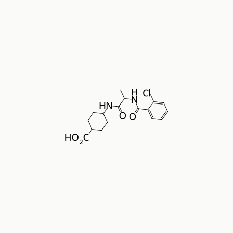 CC(NC(=O)c1ccccc1Cl)C(=O)NC1CCC(C(=O)O)CC1